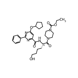 CCOC(=O)N1CCN(C(=O)[C@H](CCCCO)NC(=O)c2cc(OC3CCCC3)nc(-c3ccccc3)n2)CC1